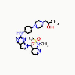 CC(O)CN1CCN(c2ccc(Nc3ncc4ccn(Cc5cccnc5N(C)S(C)(=O)=O)c4n3)cc2)CC1